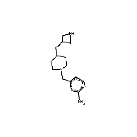 Nc1cc(CN2CCC(OC3CNC3)CC2)ccn1